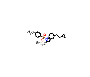 CCOC(=O)c1cc2cc(CCC3CC3)ccc2n1S(=O)(=O)c1ccc(C)cc1